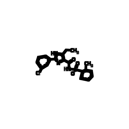 CCc1[nH]c(-c2cccc(Cl)c2)nc1C(=O)NS(=O)(=O)c1ccccc1C